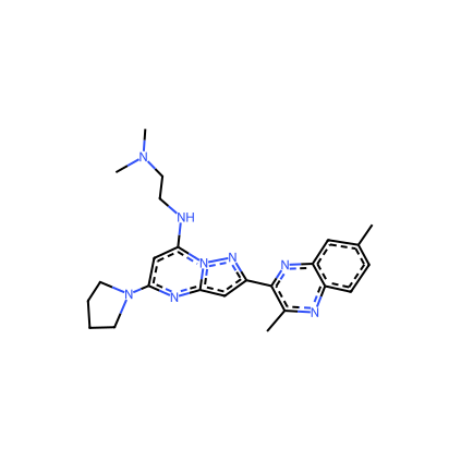 Cc1ccc2nc(C)c(-c3cc4nc(N5CCCC5)cc(NCCN(C)C)n4n3)nc2c1